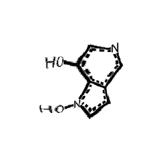 Oc1cncc2ccn(O)c12